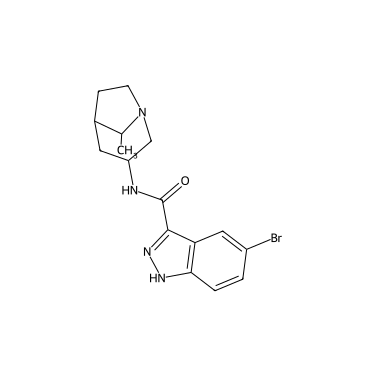 CC1C2CCN1CC(NC(=O)c1n[nH]c3ccc(Br)cc13)C2